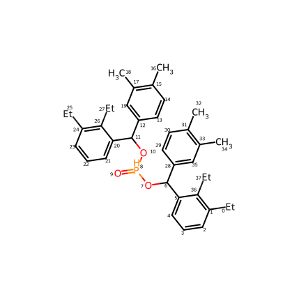 CCc1cccc(C(O[PH](=O)OC(c2ccc(C)c(C)c2)c2cccc(CC)c2CC)c2ccc(C)c(C)c2)c1CC